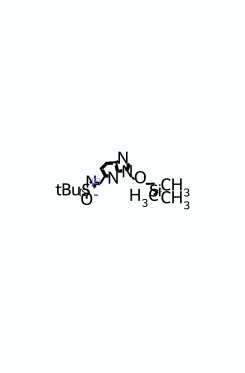 CC(C)(C)[S@@+]([O-])/N=C/c1ccc2ncn(COCC[Si](C)(C)C)c2n1